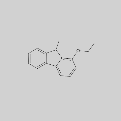 CCOc1cccc2c1C(C)c1ccccc1-2